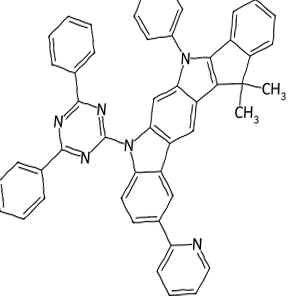 CC1(C)c2ccccc2-c2c1c1cc3c4cc(-c5ccccn5)ccc4n(-c4nc(-c5ccccc5)nc(-c5ccccc5)n4)c3cc1n2-c1ccccc1